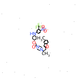 Cc1ccc2oc(CC(C)N3CCN(C(=O)CO[C@H]4CC[C@H](Nc5ccc([N+](=O)[O-])c(C(F)(F)F)c5)CC4)CC3)cc2c1